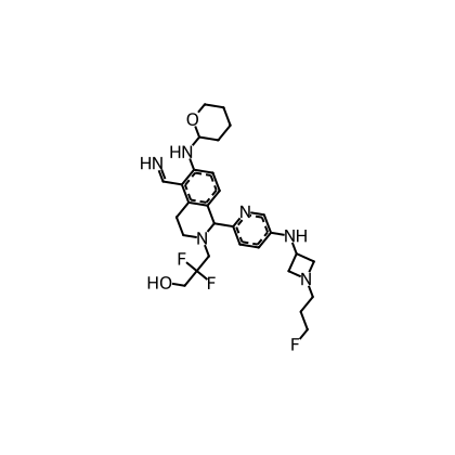 N=Cc1c(NC2CCCCO2)ccc2c1CCN(CC(F)(F)CO)C2c1ccc(NC2CN(CCCF)C2)cn1